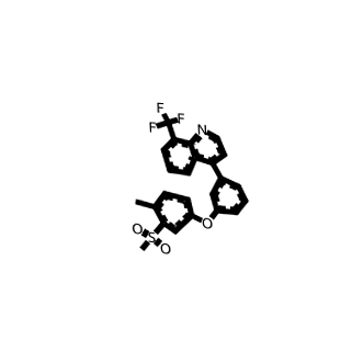 Cc1ccc(Oc2cccc(-c3ccnc4c(C(F)(F)F)cccc34)c2)cc1S(C)(=O)=O